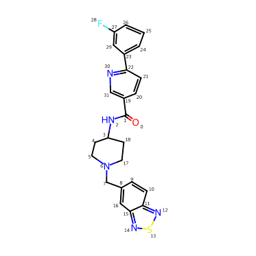 O=C(NC1CCN(Cc2ccc3nsnc3c2)CC1)c1ccc(-c2cccc(F)c2)nc1